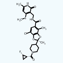 CSc1cc(C)[nH]c(=O)c1CNC(=O)c1cc(Cl)c2c(c1C)O[C@@](C)(C1CCN(C(=O)[C@@H]3C[C@@H]3F)CC1)O2